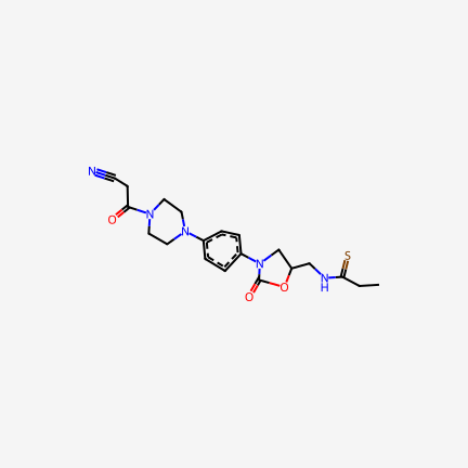 CCC(=S)NCC1CN(c2ccc(N3CCN(C(=O)CC#N)CC3)cc2)C(=O)O1